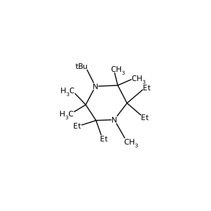 CCC1(CC)N(C)C(CC)(CC)C(C)(C)N(C(C)(C)C)C1(C)C